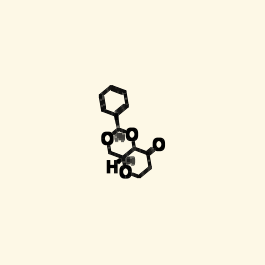 O=C1CCO[C@@H]2CO[C@@H](c3ccccc3)OC12